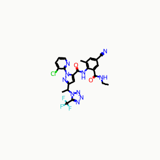 CCNC(=O)c1cc(C#N)cc(C)c1NC(=O)c1cc(C(C)n2nnnc2C(F)(F)F)nn1-c1ncccc1Cl